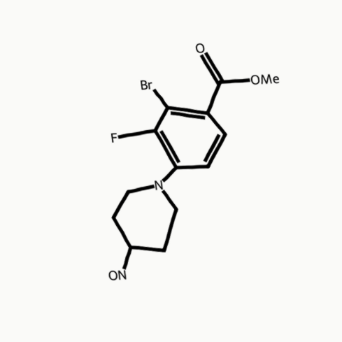 COC(=O)c1ccc(N2CCC(N=O)CC2)c(F)c1Br